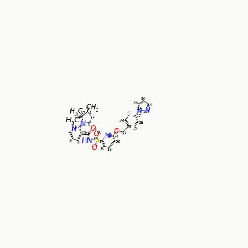 CC1CCN(c2ncccc2C(=O)NS(=O)(=O)c2cccc(OCc3ccc(-n4cccn4)cc3)n2)C1(C)C